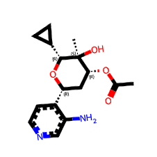 CC(=O)O[C@@H]1C[C@H](c2ccncc2N)O[C@H](C2CC2)[C@@]1(C)O